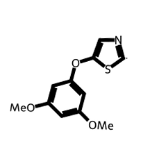 COc1cc(OC)cc(Oc2cn[c]s2)c1